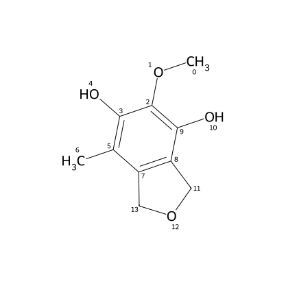 COc1c(O)c(C)c2c(c1O)COC2